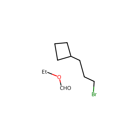 BrCCCC1CCC1.CCOC=O